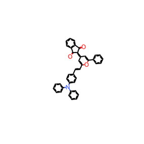 O=C1C(=C2C=C(C=Cc3ccc(N(c4ccccc4)c4ccccc4)cc3)OC(c3ccccc3)=C2)C(=O)c2ccccc21